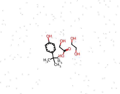 CC(C)(C)c1ccc(O)cc1.O=C(O)CO.OCCO